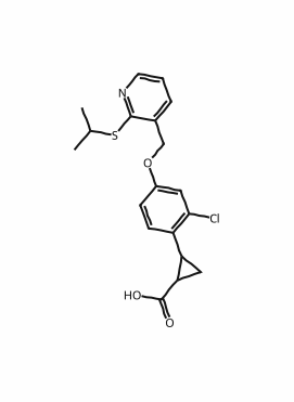 CC(C)Sc1ncccc1COc1ccc(C2CC2C(=O)O)c(Cl)c1